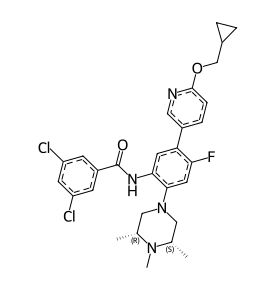 C[C@@H]1CN(c2cc(F)c(-c3ccc(OCC4CC4)nc3)cc2NC(=O)c2cc(Cl)cc(Cl)c2)C[C@H](C)N1C